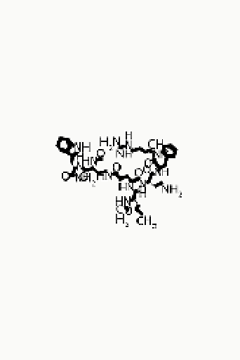 CCCC[C@H](NC(C)=O)C(=O)NC(CCC(=O)NCCC(NC=O)C(=O)N[C@@H](Cc1c[nH]c2ccccc12)C(N)=O)C(=O)N[C@@H](CCN)C(=O)NC(Cc1ccccc1)C(=O)N[C@H](C)CCCNC(=N)N